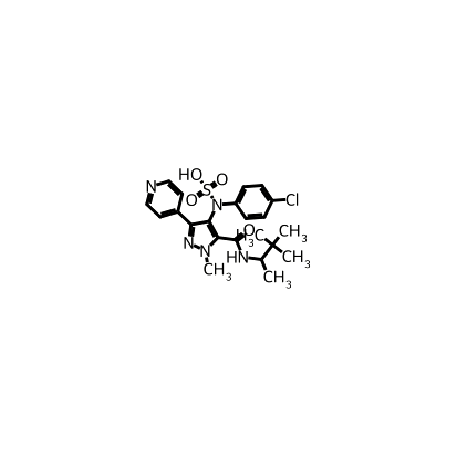 CC(NC(=O)c1c(N(c2ccc(Cl)cc2)S(=O)(=O)O)c(-c2ccncc2)nn1C)C(C)(C)C